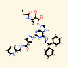 CCC(=O)N[C@H]1C[C@@H](n2cnc3c(NCC(c4ccccc4)c4ccccc4)nc(-n4cc(C(=O)NCc5ccccn5)cn4)nc32)[C@H](O)[C@@H]1O